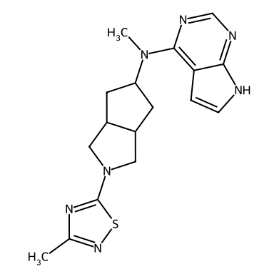 Cc1nsc(N2CC3CC(N(C)c4ncnc5[nH]ccc45)CC3C2)n1